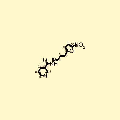 O=C(N/N=C/C=C/c1ccc([N+](=O)[O-])o1)c1cccnc1